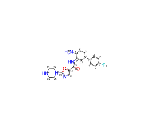 Nc1ccc(-c2ccc(F)cc2)cc1NC(=O)c1cnc(N2CCNCC2)o1